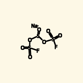 O=S(OS(=O)(=O)F)OS(=O)(=O)F.[Na]